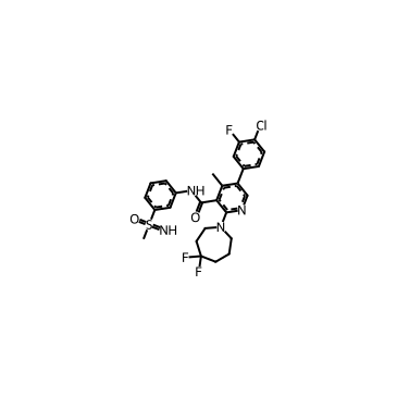 Cc1c(-c2ccc(Cl)c(F)c2)cnc(N2CCCC(F)(F)CC2)c1C(=O)Nc1cccc(S(C)(=N)=O)c1